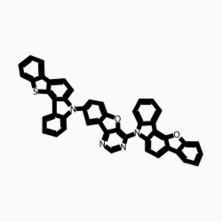 c1ccc2c(c1)oc1c2ccc2c1c1ccccc1n2-c1ncnc2c1oc1ccc(-n3c4ccccc4c4c5sc6ccccc6c5ccc43)cc12